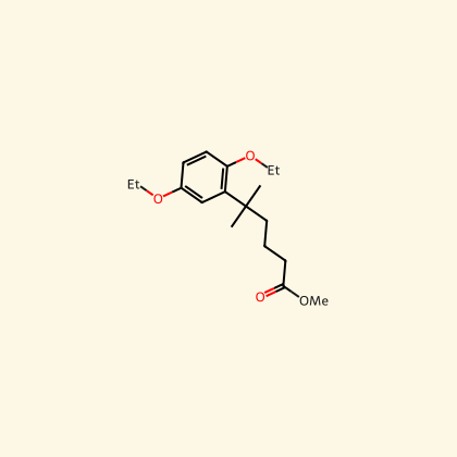 CCOc1ccc(OCC)c(C(C)(C)CCCC(=O)OC)c1